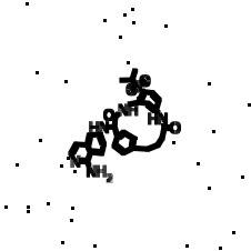 CC(C)S(=O)(=O)c1ccc2cc1CNC(=O)C(Nc1ccc3c(N)nccc3c1)c1ccc(cc1)CCCC(=O)N2